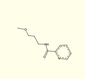 COCCCNC(=O)c1ccccn1